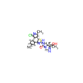 Cc1cc(-c2sc(NC(=O)N3CCN[C@@H](C(C)(C)O)C3)nc2-c2cccc(C#N)c2)cc(Cl)n1